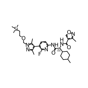 Cc1nocc1C(=O)N[C@H](C(=O)Nc1ccc(-c2c(C)nn(COCC[Si](C)(C)C)c2C)c(F)n1)C1CCC(C)CC1